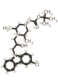 CC1CN(OC(=O)OC(C)(C)C)CC(C)N1CC(O)Cn1c2ccccc2c2cc(Cl)ccc21